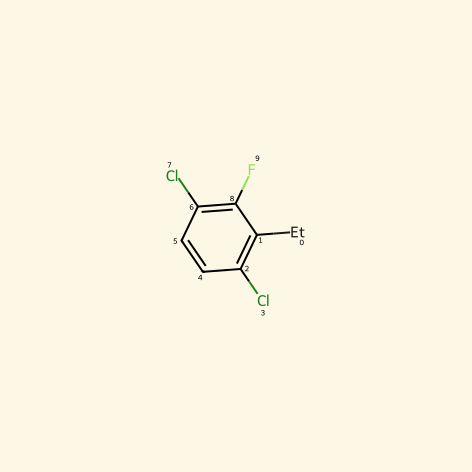 CCc1c(Cl)ccc(Cl)c1F